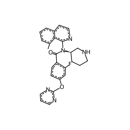 Cc1cccc2ccnc(N(C(=O)c3ccc(Oc4ncccn4)cc3F)[C@@H]3CCCNC3)c12